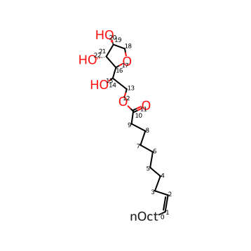 CCCCCCCC/C=C\CCCCCCCC(=O)OCC(O)C1OC[C@H](O)[C@H]1O